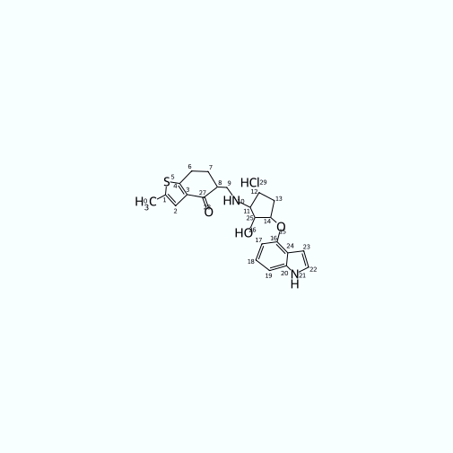 Cc1cc2c(s1)CCC(CNC1CCC(Oc3cccc4[nH]ccc34)C1O)C2=O.Cl